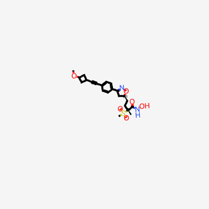 COC1CC(C#Cc2ccc(C3=NO[C@@H](CC[C@](C)(C(=O)NO)S(C)(=O)=O)C3)cc2)C1